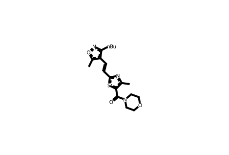 CCCCc1noc(C)c1/C=C/c1nc(C)c(C(=O)N2CCOCC2)s1